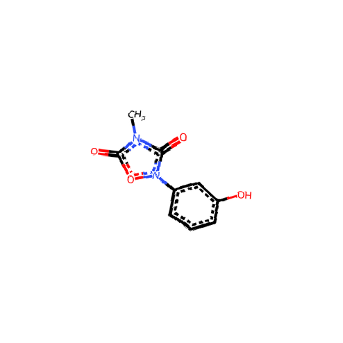 Cn1c(=O)on(-c2cccc(O)c2)c1=O